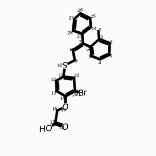 Cc1ccccc1/C(=C\CSc1ccc(OCC(=O)O)c(Br)c1)c1ccccc1